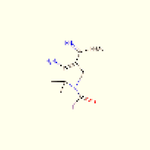 CC(=O)NC(=N)C1=C(N)C(C)(C)N(C(=O)I)C1